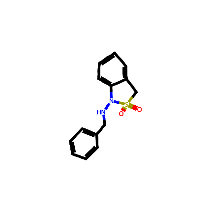 O=S1(=O)Cc2ccccc2N1NCc1ccccc1